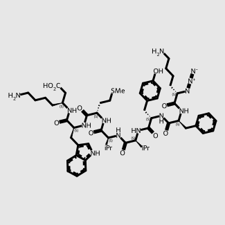 CSCC[C@H](NC(=O)[C@@H](NC(=O)[C@@H](NC(=O)[C@H](Cc1ccc(O)cc1)NC(=O)[C@H](Cc1ccccc1)NC(=O)[C@H](CCCCN)N=[N+]=[N-])C(C)C)C(C)C)C(=O)N[C@@H](Cc1c[nH]c2ccccc12)C(=O)N[C@@H](CCCCN)CC(=O)O